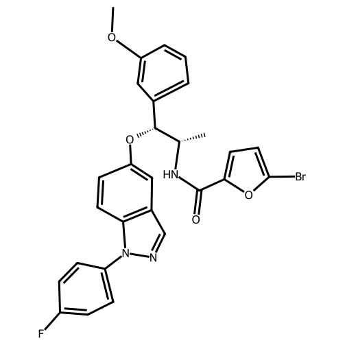 COc1cccc([C@@H](Oc2ccc3c(cnn3-c3ccc(F)cc3)c2)[C@H](C)NC(=O)c2ccc(Br)o2)c1